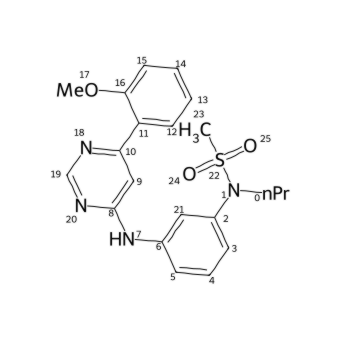 CCCN(c1cccc(Nc2cc(-c3ccccc3OC)ncn2)c1)S(C)(=O)=O